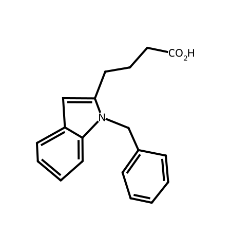 O=C(O)CCCc1cc2ccccc2n1Cc1ccccc1